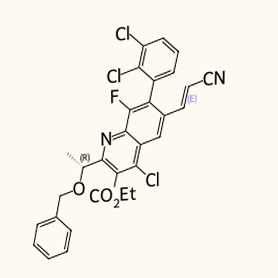 CCOC(=O)c1c([C@@H](C)OCc2ccccc2)nc2c(F)c(-c3cccc(Cl)c3Cl)c(/C=C/C#N)cc2c1Cl